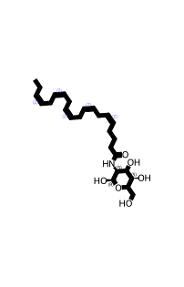 CC/C=C\C/C=C\C/C=C\C/C=C\C/C=C\CCCC(=O)N[C@H]1C(O)[C@H](O)C(CO)O[C@H]1O